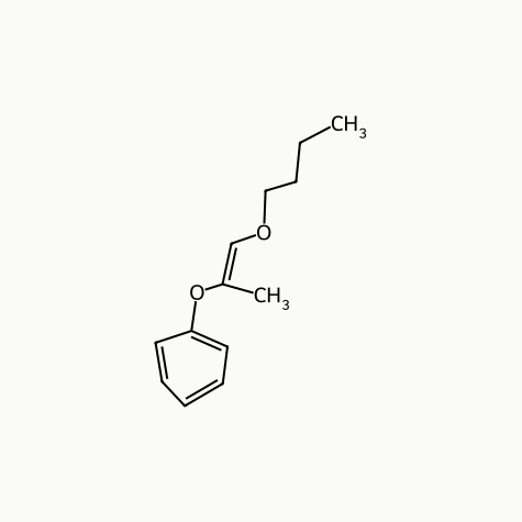 CCCCO/C=C(\C)Oc1ccccc1